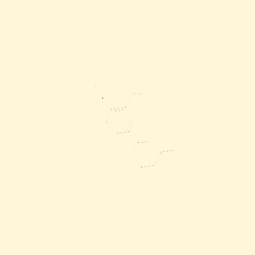 COc1cc(C2OCCC(C)O2)ccc1C(C)(C)C(=O)O